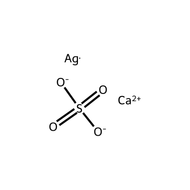 O=S(=O)([O-])[O-].[Ag].[Ca+2]